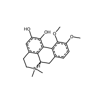 COc1ccc2c(c1OC)-c1c(O)c(O)cc3c1[C@H](C2)[N+](C)(C)CC3